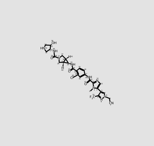 Cn1c(-c2cn(CC#N)nc2C(F)(F)F)cnc1C(=O)Nc1ccc(C(=O)N[C@H]2[C@@H]3CN(C(=O)N[C@@H]4CNC[C@H]4O)C[C@@H]32)c(Cl)c1